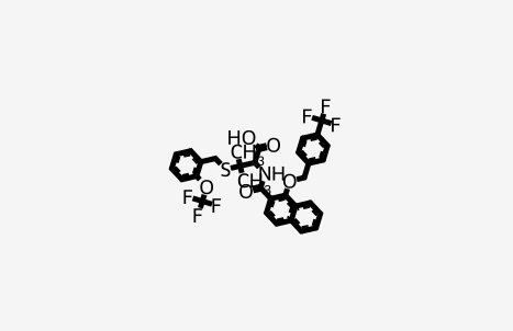 CC(C)(SCc1ccccc1OC(F)(F)F)C(NC(=O)c1ccc2ccccc2c1OCc1ccc(C(F)(F)F)cc1)C(=O)O